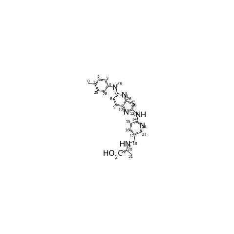 Cc1ccc(N(C)c2ccc3nc(Nc4ccc(CNC(C)C(=O)O)cn4)sc3n2)cc1